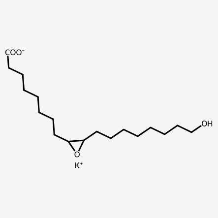 O=C([O-])CCCCCCCC1OC1CCCCCCCCO.[K+]